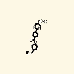 CCCCCCCCCCc1cnc(-c2ccc(C(=O)Oc3ccc(CC(C)CC)cc3)cc2)nc1